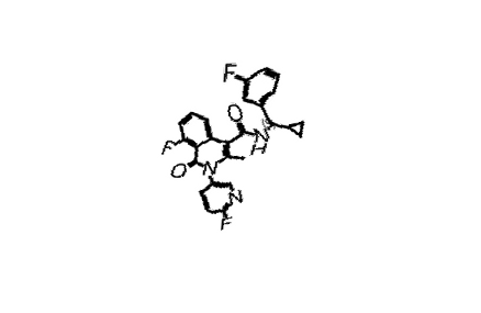 Cc1c(C(=O)N[C@H](c2cccc(F)c2)C2CC2)c2cccc(F)c2c(=O)n1-c1ccc(F)nc1